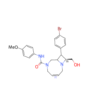 COc1ccc(NC(=O)N2C/C=C\CN3C(C2)C(c2ccc(Br)cc2)[C@H]3CO)cc1